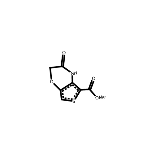 COC(=O)c1scc2c1NC(=O)CO2